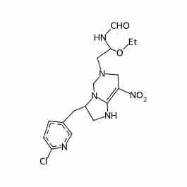 CCOC(CN1CC([N+](=O)[O-])=C2NCC(Cc3ccc(Cl)nc3)N2C1)NC=O